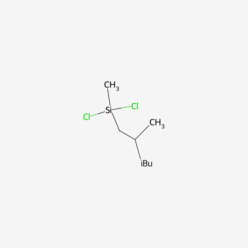 CCC(C)C(C)C[Si](C)(Cl)Cl